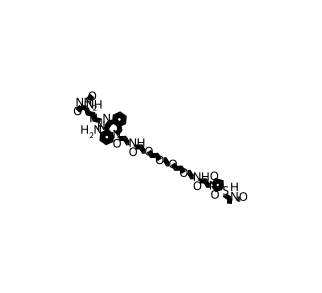 CC(CSC1CC(=O)N(CCC(=O)NCCOCCOCCOCCOCCC(=O)NCCC(=O)N2Cc3ccccc3/C(N)=C(/N(N)CCCCC(NC=O)C(N)=O)c3ccccc32)C1=O)NC=O